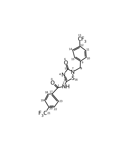 O=C(Nc1nc(=O)n(Cc2ccc(C(F)(F)F)cc2)s1)c1ccc(C(F)(F)F)cc1